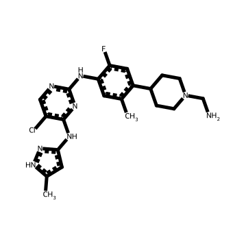 Cc1cc(Nc2nc(Nc3cc(C)c(C4CCN(CN)CC4)cc3F)ncc2Cl)n[nH]1